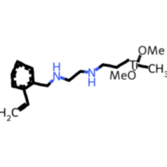 C=Cc1ccccc1CNCCNCC[CH2][Ti]([CH3])([O]C)[O]C